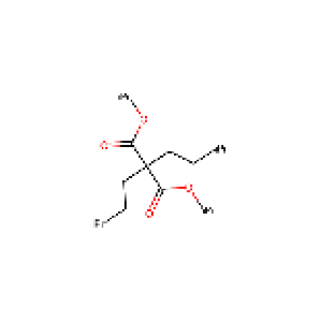 CC(C)CCC(CCC(C)C)(C(=O)OC(C)C)C(=O)OC(C)C